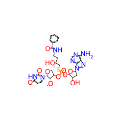 CO[C@H]1C(OP(=O)(O[C@H]2O[C@@H](n3cnc4c(N)ncnc43)CC2O)SCCCCNC(=O)c2ccccc2)[C@@H](CO)O[C@H]1n1ccc(=O)[nH]c1=O